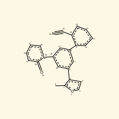 Cc1occc1-c1cc(-c2ccccc2C#N)cc(-n2ccccc2=O)c1